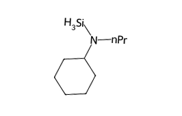 CCCN([SiH3])C1CCCCC1